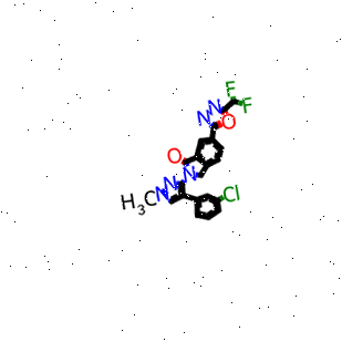 Cn1cc(-c2cccc(Cl)c2)c(N2Cc3ccc(-c4nnc(C(F)F)o4)cc3C2=O)n1